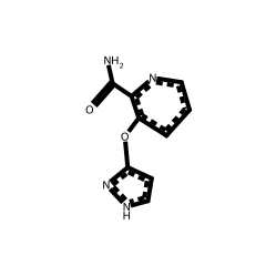 NC(=O)c1ncccc1Oc1cc[nH]n1